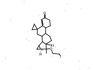 CCC12CCC3C4CCC(=O)C=C4C4(CC4)CC3C1C1C[C@@H]1C2(C)OCCI